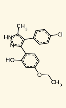 CCOc1ccc(-c2n[nH]c(C)c2-c2ccc(Cl)cc2)c(O)c1